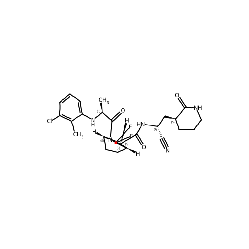 Cc1c(Cl)cccc1N[C@@H](C)C(=O)N1[C@H]2CC[C@@H]([C@H]1C(=O)N[C@@H](C#N)C[C@@H]1CCCNC1=O)C(F)(F)C2